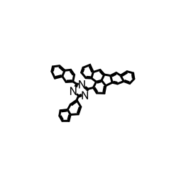 c1ccc2cc(-c3nc(-c4ccc5ccccc5c4)nc(-c4ccc5c6c(cc7ccccc7c46)-c4cc6ccccc6cc4-5)n3)ccc2c1